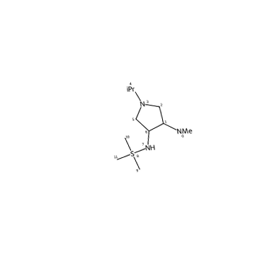 CNC1CN(C(C)C)CC1NS(C)(C)C